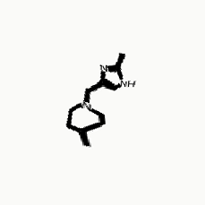 Cc1nc(CN2CCC(C)CC2)c[nH]1